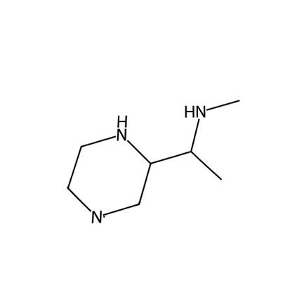 CNC(C)C1C[N]CCN1